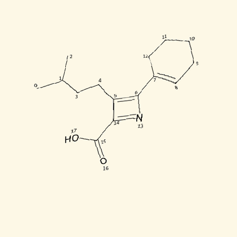 CC(C)CCC1=C(C2=CCCCC2)N=C1C(=O)O